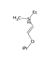 CC[SiH](C)C=COC(C)C